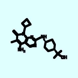 C=C1C(C)=C(N)c2cnc(N[C@H]3CC[C@H](C(C)(C)O)CC3)nc2N1C1CCC1